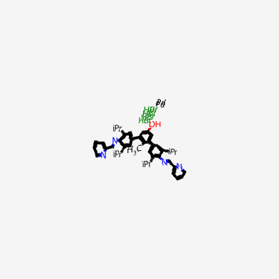 Br.Br.Br.Br.Cc1c(-c2cc(C(C)C)c(N=Cc3ccccn3)c(C(C)C)c2)cc(O)cc1-c1cc(C(C)C)c(N=Cc2ccccn2)c(C(C)C)c1.[Pd].[Pd]